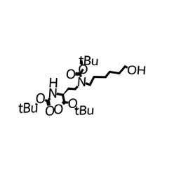 CC(C)(C)OC(=O)N[C@@H](CCN(CCCCCCO)C(=O)OC(C)(C)C)C(=O)OC(C)(C)C